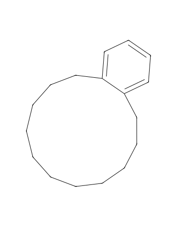 c1ccc2c(c1)CCCCCCCCCCC2